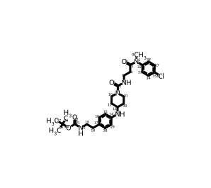 CN(C(=O)CCNC(=O)N1CCC(Nc2ccc(CCNC(=O)OC(C)(C)C)cc2)CC1)c1ccc(Cl)cc1